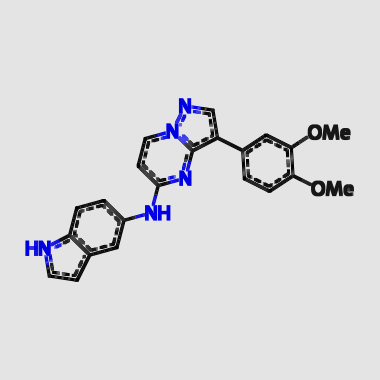 COc1ccc(-c2cnn3ccc(Nc4ccc5[nH]ccc5c4)nc23)cc1OC